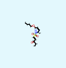 CCCCOC/C=C\[C@@H](C)NS(=O)(=O)/C=C/C(=O)CC